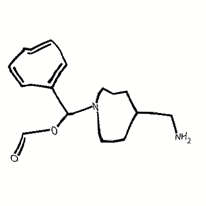 NCC1CCN(C(OC=O)c2ccccc2)CC1